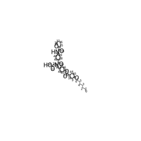 CCCCCCCOc1ccc(C(=O)Oc2ccc(CN(CC(=O)O)C(=O)c3ccc(NC(=O)C4CCCCO4)cc3)cc2)cc1